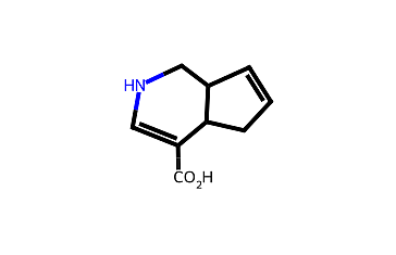 O=C(O)C1=CNCC2C=CCC12